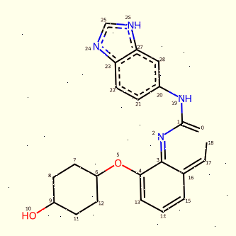 C=C(/N=C1/C(OC2CCC(O)CC2)=CC=C/C1=C/C)Nc1ccc2nc[nH]c2c1